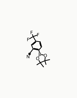 CC1(C)OB(c2ccc(C(F)(F)F)cc2C#N)OC1(C)C